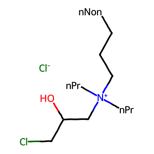 CCCCCCCCCCCC[N+](CCC)(CCC)CC(O)CCl.[Cl-]